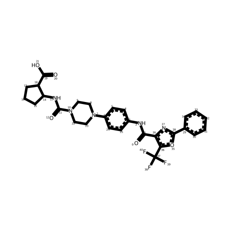 O=C(Nc1ccc(N2CCN(C(=O)NC3CCCC3C(=O)O)CC2)cc1)c1nc(-c2ccccc2)oc1C(F)(F)F